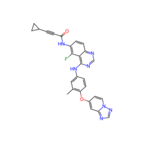 Cc1cc(Nc2ncnc3ccc(NC(=O)C#CC4CC4)c(F)c23)ccc1Oc1ccn2ncnc2c1